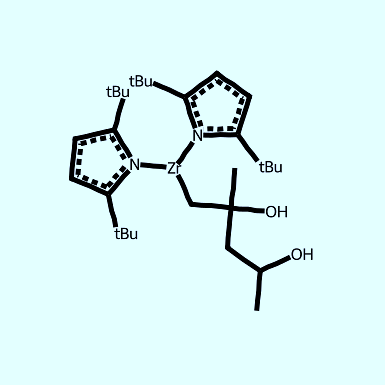 CC(O)CC(C)(O)[CH2][Zr]([n]1c(C(C)(C)C)ccc1C(C)(C)C)[n]1c(C(C)(C)C)ccc1C(C)(C)C